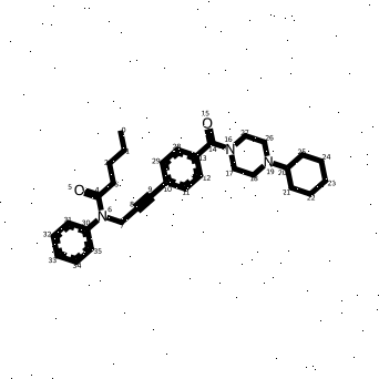 CCCCC(=O)N(CC#Cc1ccc(C(=O)N2CCN(C3CCCCC3)CC2)cc1)c1ccccc1